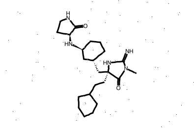 CN1C(=N)N[C@](CCC2CCCCC2)(C[C@H]2CCC[C@H](N[C@H]3CCNC3=O)C2)C1=O